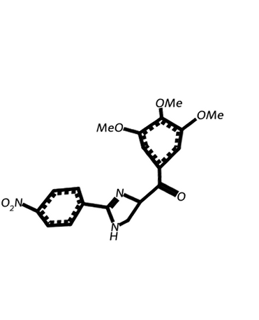 COc1cc(C(=O)C2CNC(c3ccc([N+](=O)[O-])cc3)=N2)cc(OC)c1OC